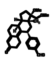 COC[C@]1(OC)CC[C@H]2[C@@H]3CCC4=CC(=O)CCC4=C3[C@@H](c3ccc(C=O)cc3)C[C@@]21C